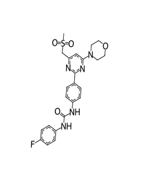 CS(=O)(=O)Cc1cc(N2CCOCC2)nc(-c2ccc(NC(=O)Nc3ccc(F)cc3)cc2)n1